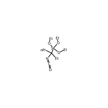 CCCC(CC)(N=C=O)[Si](OCC)(OCC)OCC